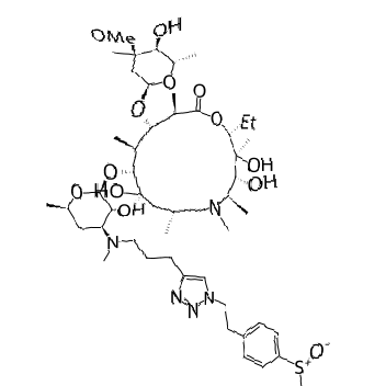 CC[C@H]1OC(=O)[C@H](C)[C@@H](O[C@H]2C[C@@](C)(OC)[C@@H](O)[C@H](C)O2)[C@H](C)[C@@H](O[C@@H]2O[C@H](C)C[C@H](N(C)CCCc3cn(CCc4ccc([S+](C)[O-])cc4)nn3)[C@H]2O)[C@](C)(O)C[C@@H](C)CN(C)[C@H](C)[C@@H](O)[C@]1(C)O